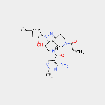 C=CC(=O)N1CCc2nn(-c3ccc(C4CC4)cc3O)c3c2[C@@H](C1)N(C(=O)c1cnc(C(F)(F)F)nc1N)CC3